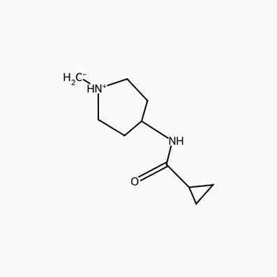 [CH2-][NH+]1CCC(NC(=O)C2CC2)CC1